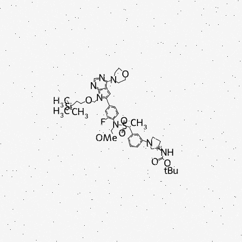 COCN(c1ccc(-c2cc3c(N4CCOCC4)ncnc3n2COCC[Si](C)(C)C)cc1F)S(=O)(=O)C(C)c1cccc(N2CC[C@@H](NC(=O)OC(C)(C)C)C2)c1